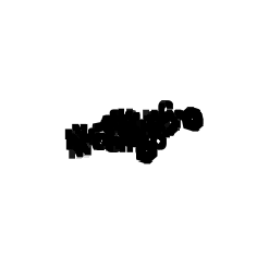 CS[C@@]1(NC(=O)C(NC(=O)N2CCN(Cc3ccccc3)C(=O)C2=O)c2ccccc2)C(=O)N2C(C(=O)O)=C(CSc3nnnn3C)CS[C@@H]21